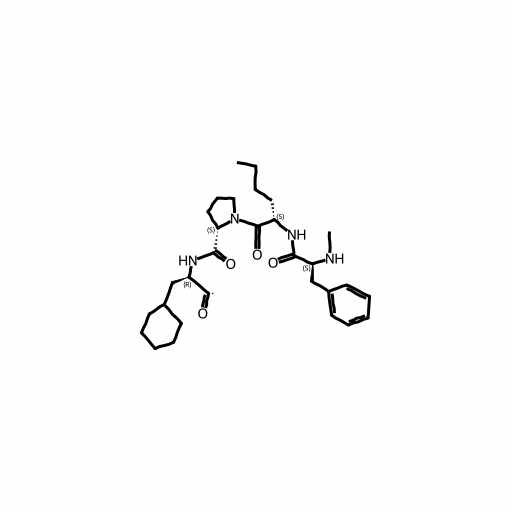 CCCC[C@H](NC(=O)[C@H](Cc1ccccc1)NC)C(=O)N1CCC[C@H]1C(=O)N[C@@H]([C]=O)CC1CCCCC1